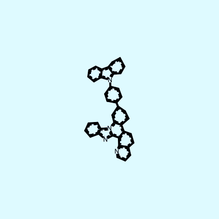 c1cnc2c(c1)ccc1c3ccc(-c4ccc(-n5c6ccccc6c6ccccc65)cc4)cc3n3c4ccccc4nc3c12